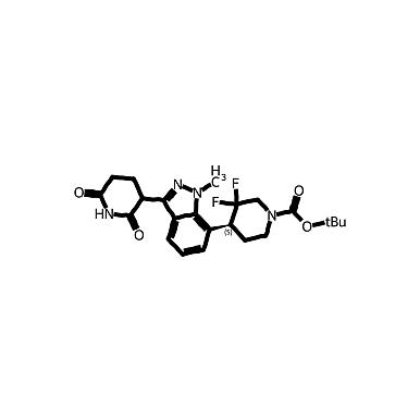 Cn1nc(C2CCC(=O)NC2=O)c2cccc([C@@H]3CCN(C(=O)OC(C)(C)C)CC3(F)F)c21